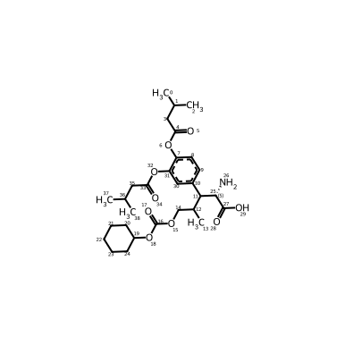 CC(C)CC(=O)Oc1ccc(C(C(C)COC(=O)OC2CCCCC2)[C@H](N)C(=O)O)cc1OC(=O)CC(C)C